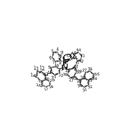 O=P12c3ccccc3-c3cc(-c4cccc5ccccc45)ccc3N1c1ccc(-c3cccc4ccccc34)cc1-c1ccccc12